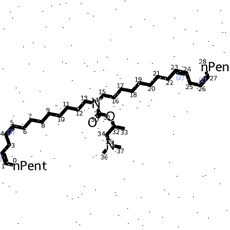 CCCCC/C=C\C/C=C\CCCCCCCCN(CCCCCCCC/C=C\C/C=C\CCCCC)C(=O)OC(C)CN(C)C